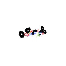 O=C(NCC(F)(F)F)C1(CCCOc2ccc(NS(=O)(=O)c3ccccc3Oc3ccccc3)cn2)c2ccccc2-c2ccccc21